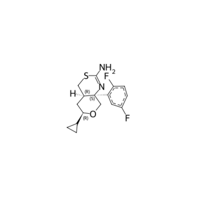 NC1=N[C@@]2(c3cc(F)ccc3F)CO[C@@H](C3CC3)C[C@H]2CS1